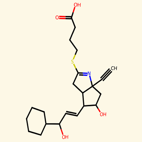 C#CC12CC(O)C(C=CC(O)C3CCCCC3)C1CC(SCCCC(=O)O)=N2